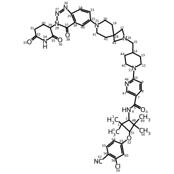 CC1(C)C(NC(=O)c2ccc(N3CCC(CN4CC5(CCN(c6ccc7nnn(C8CCC(=O)NC8=O)c(=O)c7c6)CC5)C4)CC3)nc2)C(C)(C)C1Oc1ccc(C#N)c(Cl)c1